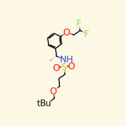 C[C@@H](NS(=O)(=O)CCCOCC(C)(C)C)c1cccc(OCC(F)F)c1